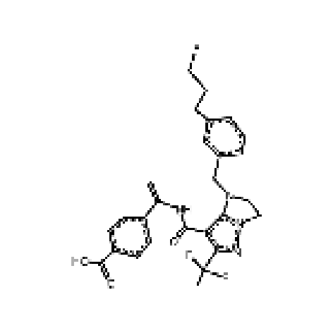 C=C(NC(=O)c1c(C(C)(F)F)nn2c1N(Cc1cccc(CCCF)c1)CC2)c1ccc(C(=O)O)cc1